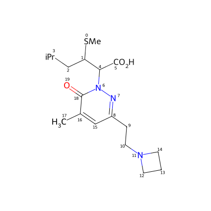 CSC(CC(C)C)C(C(=O)O)n1nc(CCN2CCC2)cc(C)c1=O